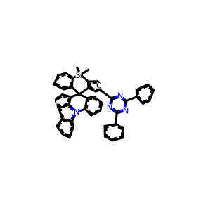 C[Si]1(C)c2ccccc2C2(c3ccccc3-n3c4ccccc4c4cccc2c43)c2cc(-c3nc(-c4ccccc4)nc(-c4ccccc4)n3)ccc21